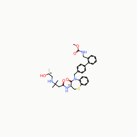 COC(=O)NCc1ccccc1-c1ccc(CN2C(=O)[C@H](NC(=O)CC(C)(C)NC[C@@H](C)O)CSc3ccccc32)cc1